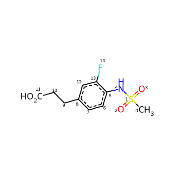 CS(=O)(=O)Nc1ccc(CCC(=O)O)cc1F